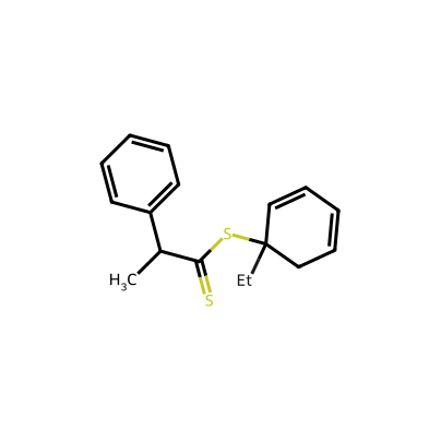 CCC1(SC(=S)C(C)c2ccccc2)C=CC=CC1